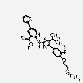 COCCOc1ccc(-c2nc(Nc3ncc(-c4cccs4)cc3C(=O)OI)sc2C(C)C)cc1F